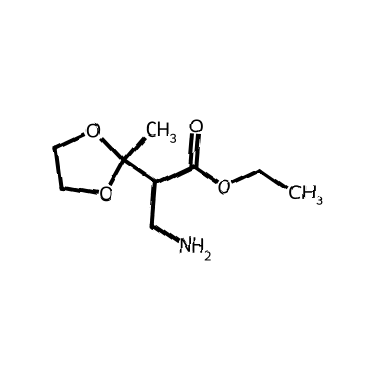 CCOC(=O)C(CN)C1(C)OCCO1